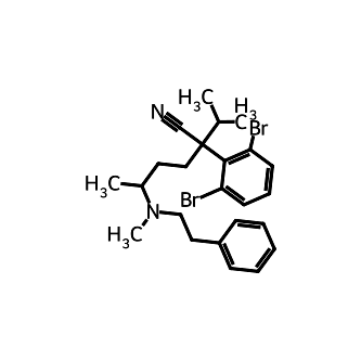 CC(CCC(C#N)(c1c(Br)cccc1Br)C(C)C)N(C)CCc1ccccc1